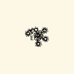 CC[C@H]1O[C@@H](c2cccc(Cc3cc4ccccc4s3)c2)[C@H](OCc2ccccc2)[C@@H](OCc2ccccc2)[C@@H]1OCc1ccccc1